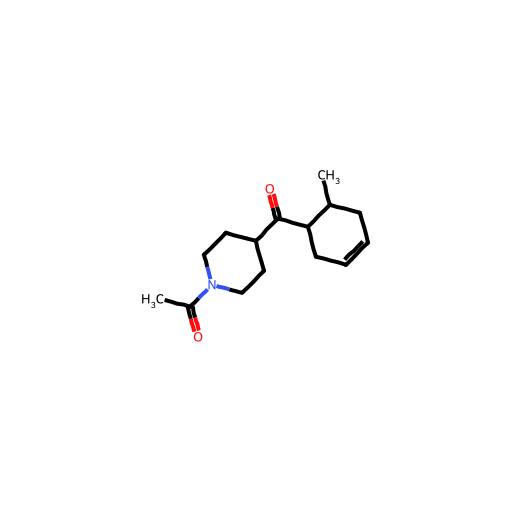 CC(=O)N1CCC(C(=O)C2CC=CCC2C)CC1